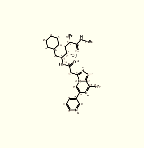 CCCCNC(=O)[C@H](C[C@H](O)[C@H](CC1CCCCC1)NC(=O)Cc1nnc2c(CCC)nc(-c3cccnc3)cn12)C(C)C